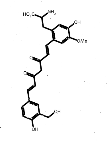 COc1cc(/C=C/C(=O)CC(=O)/C=C/c2ccc(O)c(CO)c2)c(CC(N)C(=O)O)cc1O